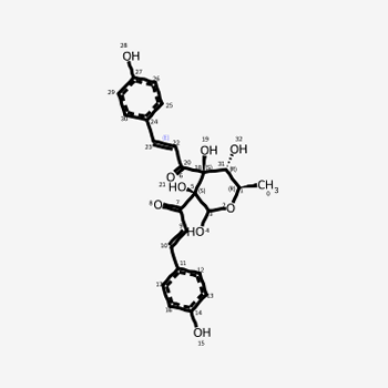 C[C@H]1OC(O)[C@](O)(C(=O)C=Cc2ccc(O)cc2)[C@](O)(C(=O)/C=C/c2ccc(O)cc2)[C@@H]1O